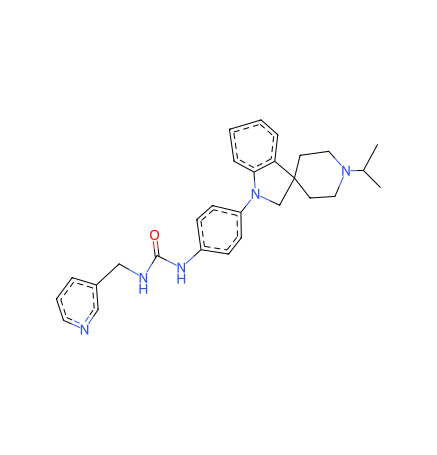 CC(C)N1CCC2(CC1)CN(c1ccc(NC(=O)NCc3cccnc3)cc1)c1ccccc12